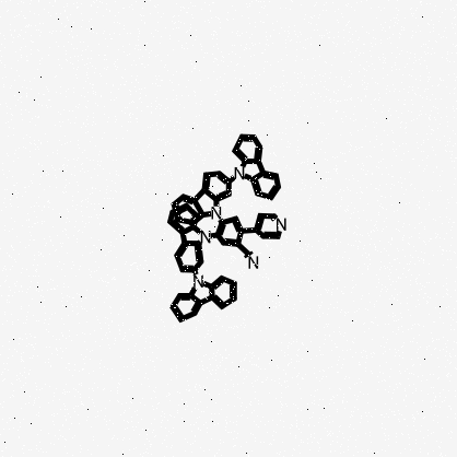 N#Cc1cc(-n2c3ccccc3c3ccc(-n4c5ccccc5c5ccccc54)cc32)c(-n2c3ccccc3c3ccc(-n4c5ccccc5c5ccccc54)cc32)cc1-c1ccncc1